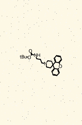 CC(C)(C)OC(=O)NCCCN1CCC2(CC1)c1ccccc1Oc1ccccc12